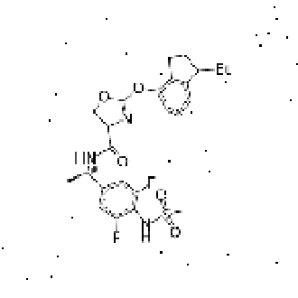 CCC1CCc2c(OC3=NC(C(=O)N[C@H](C)c4cc(F)c(NS(C)(=O)=O)c(F)c4)CO3)cccc21